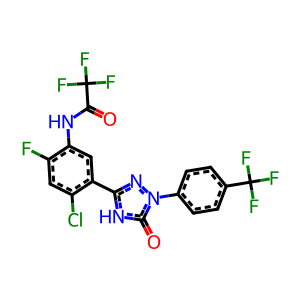 O=C(Nc1cc(-c2nn(-c3ccc(C(F)(F)F)cc3)c(=O)[nH]2)c(Cl)cc1F)C(F)(F)F